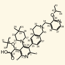 Cc1nc(C)c([C@H](OC(C)(C)C)C(=O)O)c(N2CCC(C)(C)CC2)c1-c1ccc2c(c1)CCN(Cc1cccnc1OC(C)C)C2